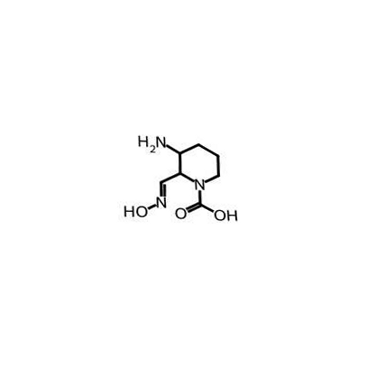 NC1CCCN(C(=O)O)C1C=NO